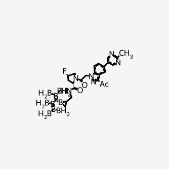 BB(B)B(B)B(B(B)B)B1CC1CNC(=O)[C@@H]1C[C@@H](F)CN1C(=O)Cn1nc(C(C)=O)c2cc(-c3cnc(C)nc3)ccc21